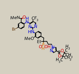 CCC(CCCn1cc(B2OC(C)(C)C(C)(C)O2)cn1)(Cc1ccc(Nc2ncc(C(F)(F)F)c(Nc3ccc(Br)cc3C(=O)NC)n2)c(OC)c1)[PH](=O)O